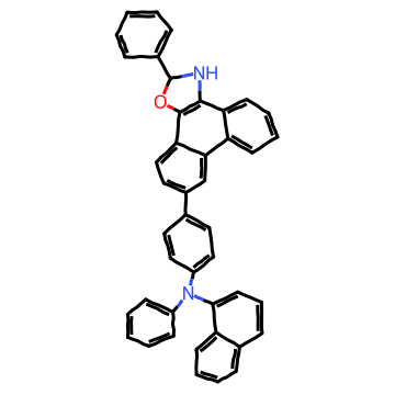 c1ccc(C2Nc3c(c4ccc(-c5ccc(N(c6ccccc6)c6cccc7ccccc67)cc5)cc4c4ccccc34)O2)cc1